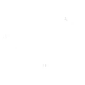 COc1ccc(-c2ccccc2CN)cc1.Cl